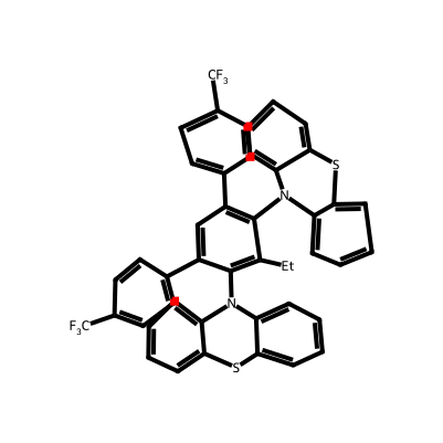 CCc1c(N2c3ccccc3Sc3ccccc32)c(-c2ccc(C(F)(F)F)cc2)cc(-c2ccc(C(F)(F)F)cc2)c1N1c2ccccc2Sc2ccccc21